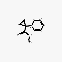 CC(C)(C)OC(=O)C1(N2C=CC=NC2)CC1